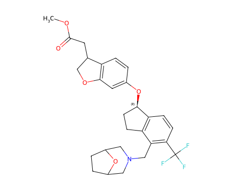 COC(=O)CC1COc2cc(O[C@@H]3CCc4c3ccc(C(F)(F)F)c4CN3CC4CCC(C3)O4)ccc21